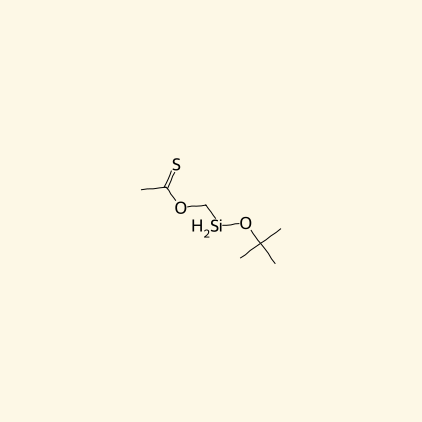 CC(=S)OC[SiH2]OC(C)(C)C